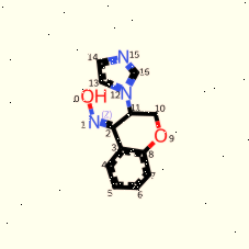 O/N=C1/c2ccccc2OCC1n1ccnc1